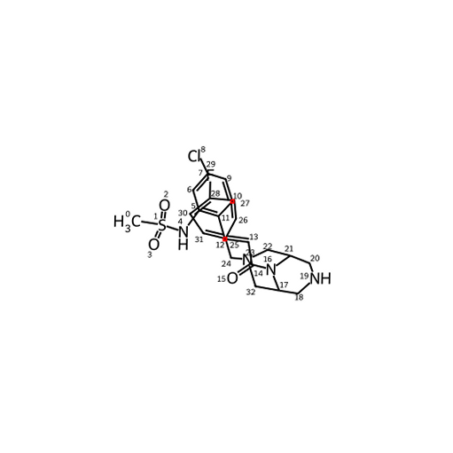 CS(=O)(=O)Nc1cc(Cl)ccc1C=CC(=O)N1C2CNCC1CN(Cc1ccc(F)cc1)C2